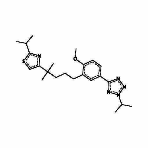 COc1ccc(-c2nnn(C(C)C)n2)cc1CCCC(C)(C)c1csc(C(C)C)n1